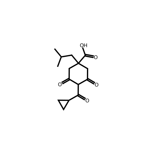 CC(C)CC1(C(=O)O)CC(=O)C(C(=O)C2CC2)C(=O)C1